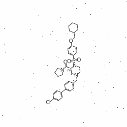 O=C([C@@H]1CN(Cc2ccc(-c3ccc(Cl)cc3)cc2)CCN1S(=O)(=O)c1ccc(OCC2CCCCC2)cc1)N1CCCC1